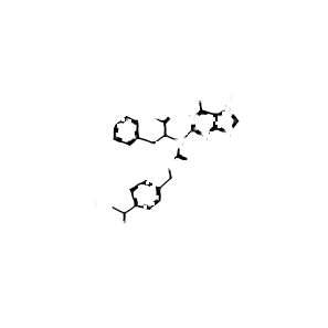 CC(C)c1ccc(COC(=O)N(c2nc(Cl)c3[nH]cnc3n2)C(Cc2ccccc2)C(=O)O)cc1